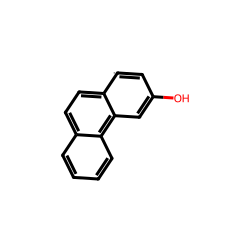 Oc1c[c]c2ccc3ccccc3c2c1